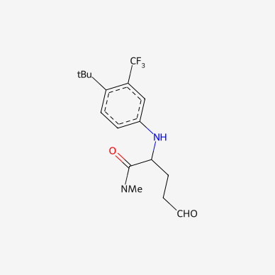 CNC(=O)C(CCC=O)Nc1ccc(C(C)(C)C)c(C(F)(F)F)c1